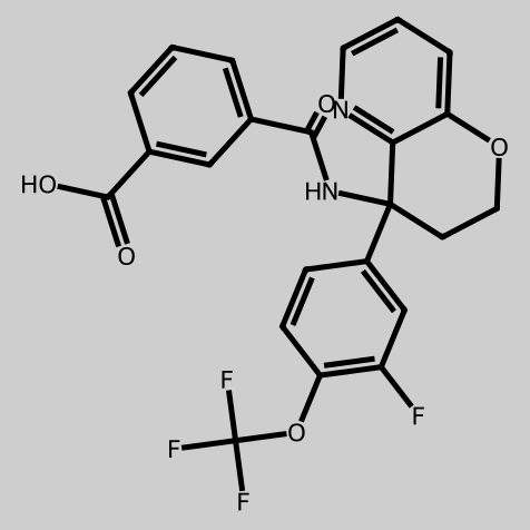 O=C(O)c1cccc(C(=O)NC2(c3ccc(OC(F)(F)F)c(F)c3)CCOc3cccnc32)c1